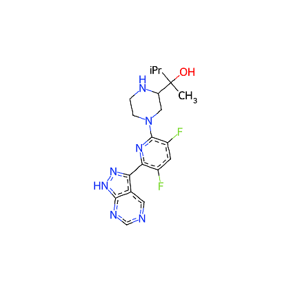 CC(C)C(C)(O)C1CN(c2nc(-c3n[nH]c4ncncc34)c(F)cc2F)CCN1